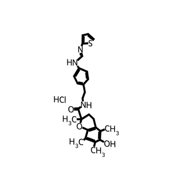 Cc1c(C)c2c(c(C)c1O)CCC(C)(C(=O)NCCc1ccc(NC=Nc3cccs3)cc1)O2.Cl